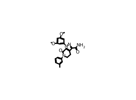 COc1cc(OC)cc(-n2nc(C(N)=O)c3c2C(=O)N(c2cccc(C)c2)CC3)c1